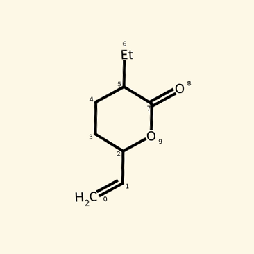 C=CC1CCC(CC)C(=O)O1